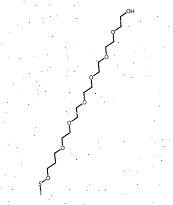 OCCOCCOCCOCCOCCOCCOCCCOSI